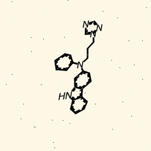 c1ccc(N(CCCn2cncn2)c2ccc3c(c2)[nH]c2ccccc23)cc1